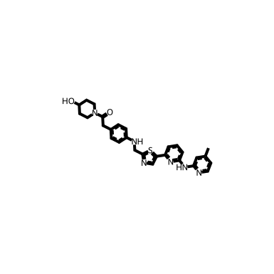 Cc1ccnc(Nc2cccc(-c3cnc(CNc4ccc(CC(=O)N5CCC(O)CC5)cc4)s3)n2)c1